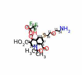 CC1(C)OC(=O)c2cc(SCCOCCN)cc3c(=O)c(C(=O)O)cn1c23.O=C(O)C(F)(F)F